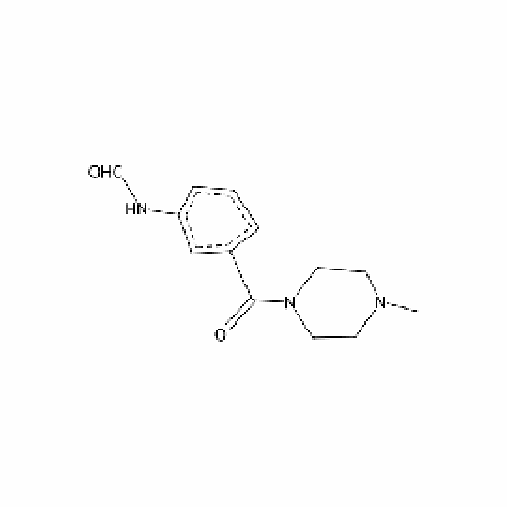 CN1CCN(C(=O)c2cccc(NC=O)c2)CC1